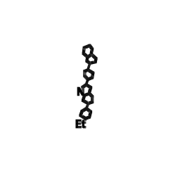 CCc1ccc(-c2ccc3cc(-c4ccc(-c5ccc6ccccc6c5)cc4)cnc3c2)cc1